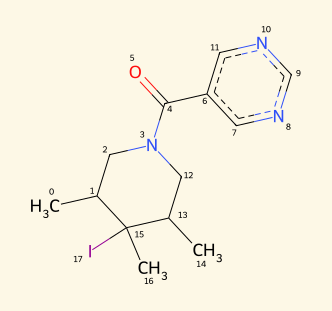 CC1CN(C(=O)c2cncnc2)CC(C)C1(C)I